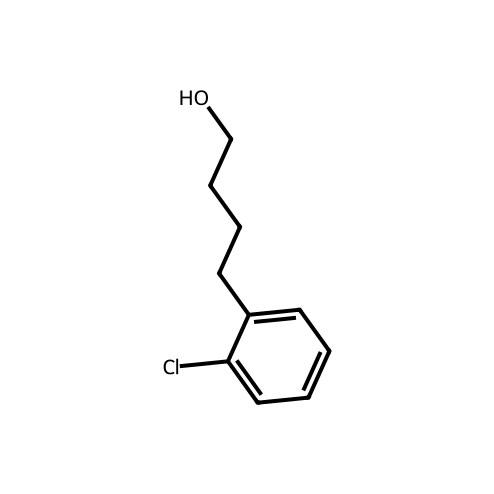 OCCCCc1ccccc1Cl